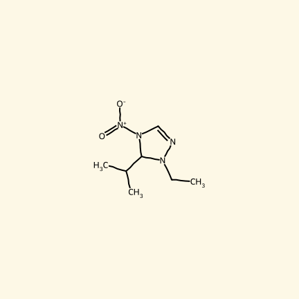 CCN1N=CN([N+](=O)[O-])C1C(C)C